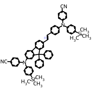 C[Si](C)(C)c1ccc(N(c2ccc(C#N)cc2)c2ccc(/C=C/c3ccc4c(c3)C(c3ccccc3)(c3ccccc3)c3cc(N(c5ccc(C#N)cc5)c5ccc([Si](C)(C)C)cc5)ccc3-4)cc2)cc1